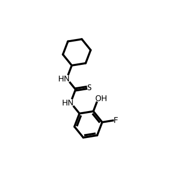 Oc1c(F)cccc1NC(=S)NC1CCCCC1